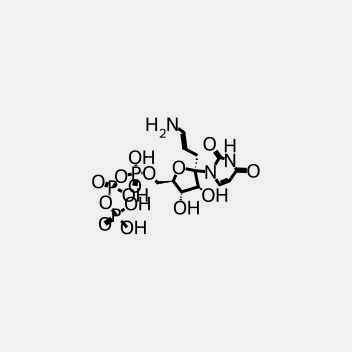 NC=CC[C@@]1(n2ccc(=O)[nH]c2=O)O[C@H](COP(=O)(O)OP(=O)(O)OP(=O)(O)O)[C@@H](O)[C@H]1O